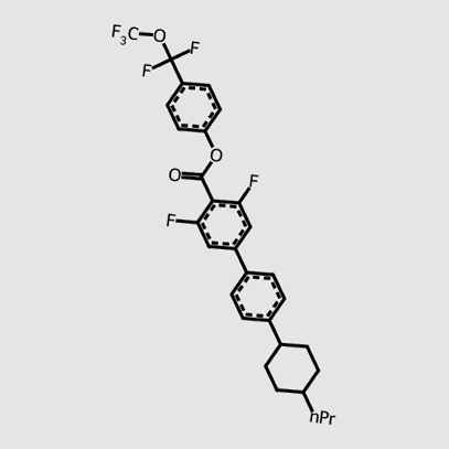 CCCC1CCC(c2ccc(-c3cc(F)c(C(=O)Oc4ccc(C(F)(F)OC(F)(F)F)cc4)c(F)c3)cc2)CC1